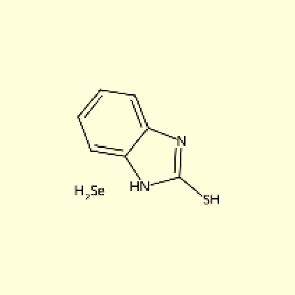 Sc1nc2ccccc2[nH]1.[SeH2]